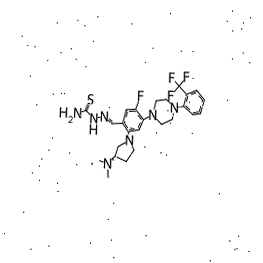 CN(C)[C@@H]1CCN(c2cc(N3CCN(c4ccccc4C(F)(F)F)CC3)c(F)cc2/C=N/NC(N)=S)C1